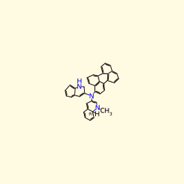 CN1C=C(N(C2=Cc3ccccc3NC2)c2ccc3c4cccc5cccc(c6cccc2c63)c54)C=C2C=CC=C[C@H]21